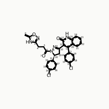 C=C1NC(CCC(=O)N2N=C(c3c(-c4ccc(Cl)cc4)c4ccccc4[nH]c3=O)C[C@H]2c2ccc(Cl)cc2)=NO1